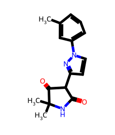 Cc1cccc(-n2ccc(C3C(=O)NC(C)(C)C3=O)n2)c1